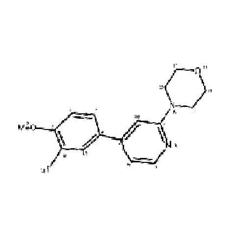 COc1ccc(-c2ccnc(N3CCOCC3)c2)cc1F